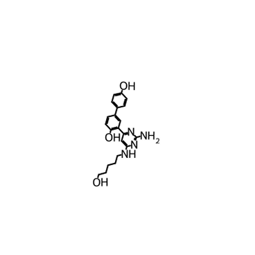 Nc1nc(NCCCCCO)cc(-c2cc(-c3ccc(O)cc3)ccc2O)n1